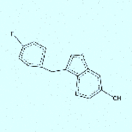 Oc1ccc2c(Cc3ccc(F)cc3)csc2c1